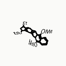 CCC1CC(C(C)(C)C)C2C3CC(C12)C1C2CC(C4C(OC)=c5ccccc5=C(OC)C24)C31